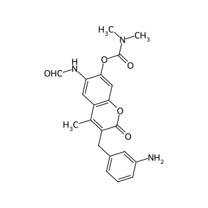 Cc1c(Cc2cccc(N)c2)c(=O)oc2cc(OC(=O)N(C)C)c(NC=O)cc12